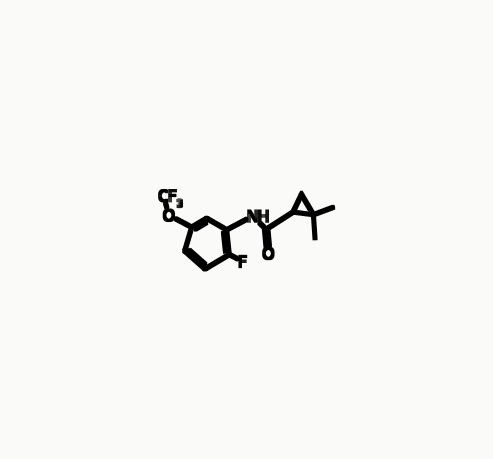 CC1(C)CC1C(=O)Nc1cc(OC(F)(F)F)ccc1F